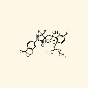 COC(C)Oc1ccc(F)cc1C(C)(C)CC(O)(C(=O)Nc1ccc2c(c1)COC2=O)C(F)(F)F